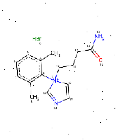 Br.Cc1cccc(C)c1[N+]1(CCCC(N)=O)C=CN=C1